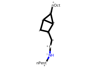 CCCCCCCCC1C2CC(CCNCCCCC)C12